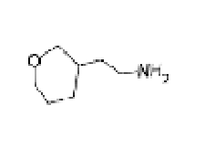 NCCC1CCCOC1